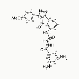 COc1ccc(C2=C3C(=O)c4c(NC(=O)NNC(=O)c5cc(N)cc(N)c5)cccc4C3N=N2)cc1